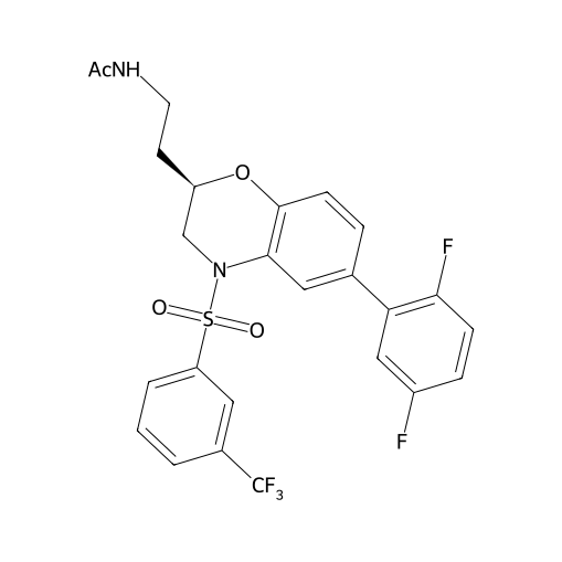 CC(=O)NCC[C@@H]1CN(S(=O)(=O)c2cccc(C(F)(F)F)c2)c2cc(-c3cc(F)ccc3F)ccc2O1